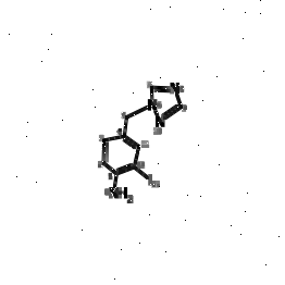 Nc1ccc(Cn2cncn2)cc1I